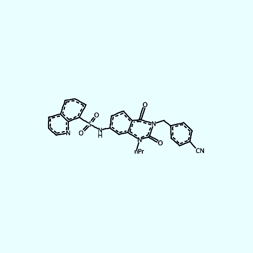 CCCn1c(=O)n(Cc2ccc(C#N)cc2)c(=O)c2ccc(NS(=O)(=O)c3cccc4cccnc34)cc21